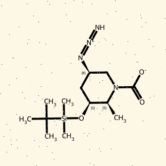 C[C@H]1[C@@H](O[Si](C)(C)C(C)(C)C)C[C@@H](N=[N+]=N)CN1C(=O)[O-]